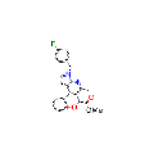 COC(=O)C(O)c1c(C)nc2c(ccn2Cc2ccc(F)cc2)c1-c1ccccc1